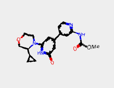 COC(=O)Nc1cc(-c2cc(N3CCOCC3C3CC3)[nH]c(=O)c2)ccn1